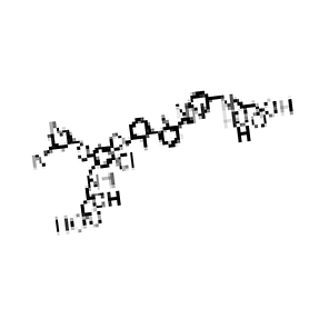 Cc1c(COc2cc(OCc3cncc(C#N)c3)c(CNCC(O)CC(=O)O)cc2Cl)cccc1-c1cccc(-c2cn3cc(CNCC(O)CC(=O)O)ccc3n2)c1C